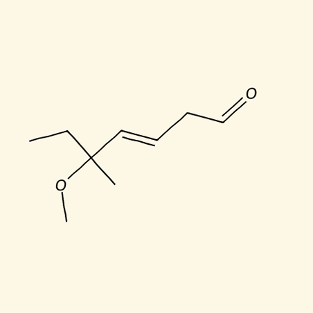 CCC(C)(/C=C/CC=O)OC